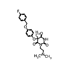 CN(C)CCN1C(=O)NC(=O)C(C)(Oc2ccc(OCc3ccc(F)cc3)cc2)C1=O